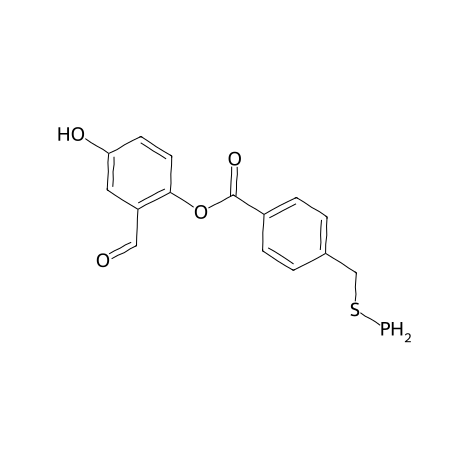 O=Cc1cc(O)ccc1OC(=O)c1ccc(CSP)cc1